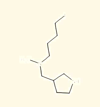 CN(CCCCI)CC1CCNC1